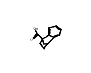 O=C(O)C12CCC(C1)c1ccccc12